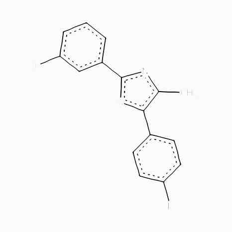 Cc1nc(-c2cccc(F)c2)sc1-c1ccc(F)cc1